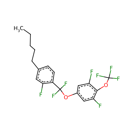 CCCCCc1ccc(C(F)(F)Oc2cc(F)c(OC(F)(F)F)c(F)c2)c(F)c1